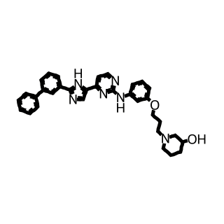 OC1CCCN(CCCOc2cccc(Nc3nccc(-c4cnc(-c5cccc(-c6ccccc6)c5)[nH]4)n3)c2)C1